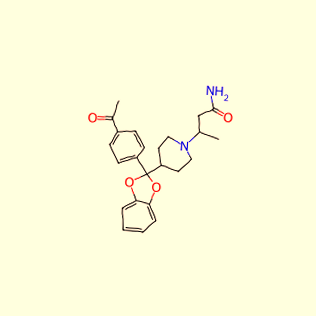 CC(=O)c1ccc(C2(C3CCN(C(C)CC(N)=O)CC3)Oc3ccccc3O2)cc1